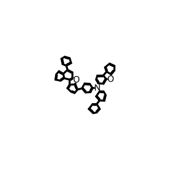 c1ccc(-c2cccc(N(c3ccc(-c4cccc5c4oc4cc(-c6ccccc6)c6ccccc6c45)cc3)c3ccc4c(c3)oc3ccccc34)c2)cc1